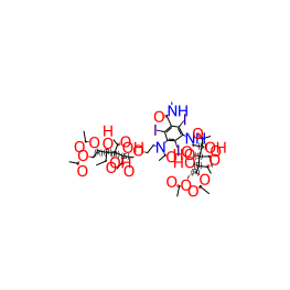 CNC(=O)c1c(I)c(NC(=O)[C@@](O)(C(C)=O)[C@](O)(C(C)=O)[C@@](O)(C(C)=O)[C@@H](COC(C)=O)OC(C)=O)c(I)c(N(CCOC[C@@](O)(C(C)=O)[C@](O)(C(C)=O)[C@@](O)(C(C)=O)[C@@H](COC(C)=O)OC(C)=O)C(C)=O)c1I